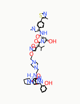 Cc1ncsc1-c1ccc([C@H](CN(C)C)NC(=O)[C@@H]2C[C@@H](O)CN2C(=O)[C@H](c2cc(OCCN3CCN(CCOc4cc(N5C6CCC5CN(c5cc(-c7ccccc7O)nnc5N)C6)ccn4)CC3)no2)C(C)C)cc1